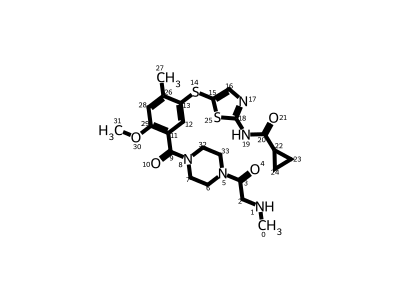 CNCC(=O)N1CCN(C(=O)c2cc(Sc3cnc(NC(=O)C4CC4)s3)c(C)cc2OC)CC1